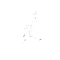 C=CCCCC1CC(=O)C=C2CC[C@H]3[C@@H]4CC[C@H](O[Si](C)(C)C(C)(C)C)[C@@]4(C)CC[C@@H]3[C@]21C